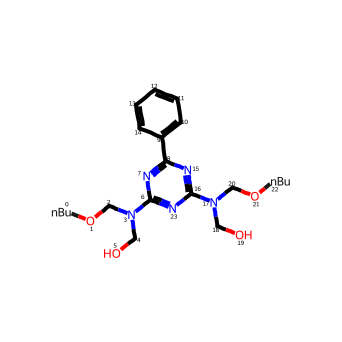 CCCCOCN(CO)c1nc(-c2ccccc2)nc(N(CO)COCCCC)n1